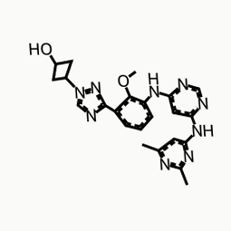 COc1c(Nc2cc(Nc3cc(C)nc(C)n3)ncn2)cccc1-c1ncn(C2CC(O)C2)n1